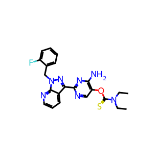 CCN(CC)C(=S)Oc1cnc(-c2nn(Cc3ccccc3F)c3ncccc23)nc1N